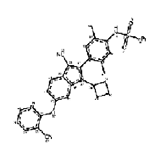 CCCS(=O)(=O)Nc1cc(C)c(-c2c(C#N)c3ccc(Oc4ncccc4C#N)cc3n2C2CCC2)cc1C